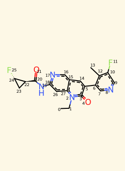 CCn1c(=O)c(-c2cncc(F)c2C)cc2cnc(NC(=O)[C@H]3C[C@@H]3F)cc21